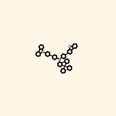 c1ccc(C2(c3ccccc3)c3ccccc3-c3c(N(c4ccc(-c5ccc(-n6c7ccccc7c7ccccc76)cc5)cc4)c4ccc(-c5ccc6c(c5)oc5ccccc56)cc4)cccc32)cc1